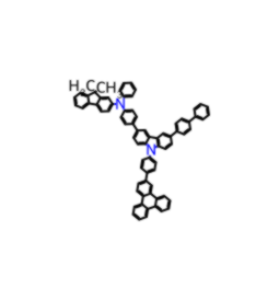 CC1(C)c2ccccc2-c2ccc(N(c3ccccc3)c3ccc(-c4ccc5c(c4)c4cc(-c6ccc(-c7ccccc7)cc6)ccc4n5-c4ccc(-c5ccc6c7ccccc7c7ccccc7c6c5)cc4)cc3)cc21